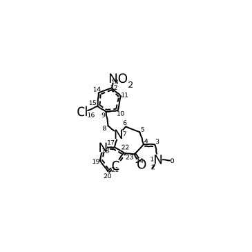 CN(C)C=C1CCN(Cc2ccc([N+](=O)[O-])cc2Cl)c2ncccc2C1=O